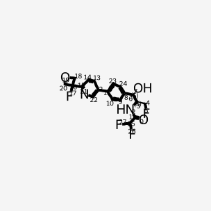 O=C(N[C@H](CF)[C@@H](O)c1ccc(-c2ccc(C3(F)COC3)nc2)cc1)C(F)F